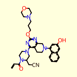 C=CC(=O)N1CCN(c2nc(OCCCN3CCOCC3)nc3c2CCN(c2cc(O)cc4ccccc24)C3)CC1CC#N